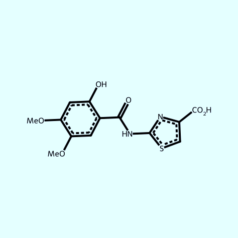 COc1cc(O)c(C(=O)Nc2nc(C(=O)O)cs2)cc1OC